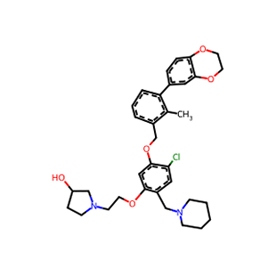 Cc1c(COc2cc(OCCN3CCC(O)C3)c(CN3CCCCC3)cc2Cl)cccc1-c1ccc2c(c1)OCCO2